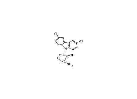 N[C@@H]1COC[C@H](n2c3ccc(Cl)cc3c3cc(Cl)ccc32)[C@H]1O